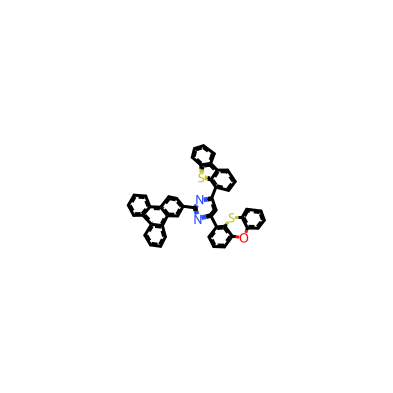 c1ccc2c(c1)Oc1cccc(-c3cc(-c4cccc5c4sc4ccccc45)nc(-c4ccc5c6ccccc6c6ccccc6c5c4)n3)c1S2